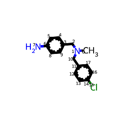 CN(Cc1ccc(N)cc1)Cc1ccc(Cl)cc1